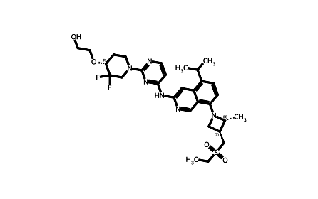 CCS(=O)(=O)C[C@H]1CN(c2ccc(C(C)C)c3cc(Nc4ccnc(N5CC[C@@H](OCCO)C(F)(F)C5)n4)ncc23)[C@@H]1C